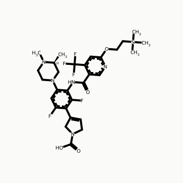 C[C@H]1CN(c2cc(F)c(C3=CCN(C(=O)O)C3)c(F)c2NC(=O)c2cnc(OCC[Si](C)(C)C)cc2C(F)(F)F)CCN1C